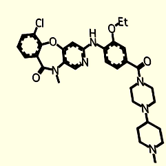 CCOc1cc(C(=O)N2CCN(C3CCN(C)CC3)CC2)ccc1Nc1cc2c(cn1)N(C)C(=O)c1cccc(Cl)c1O2